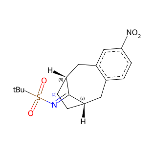 CC(C)(C)S(=O)(=O)/N=C1\[C@@H]2CC[C@H]1Cc1ccc([N+](=O)[O-])cc1C2